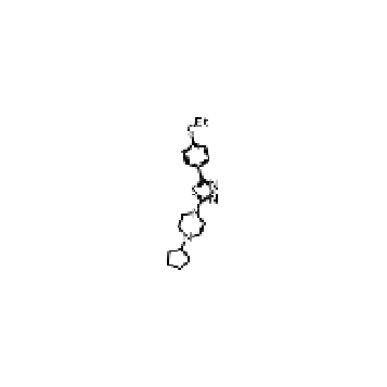 CCSc1ccc(-c2nnc(N3CCN(C4CCCC4)CC3)s2)cc1